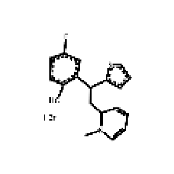 Br.CN1C=CC=CC1CC(c1cccs1)c1cc(F)ccc1O